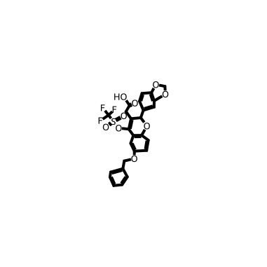 O=C(O)CC1=C(OS(=O)(=O)C(F)(F)F)c2cc(OCc3ccccc3)ccc2OC1c1ccc2c(c1)OCO2